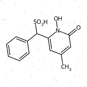 Cc1cc(C(c2ccccc2)S(=O)(=O)O)n(O)c(=O)c1